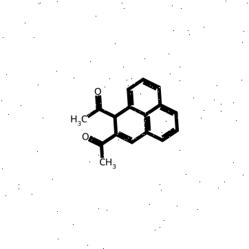 CC(=O)C1=Cc2cccc3cccc(c23)C1C(C)=O